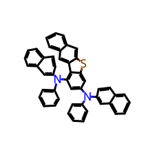 c1ccc(N(c2ccc3ccccc3c2)c2cc(N(c3ccccc3)c3ccc4ccccc4c3)c3c(c2)sc2cc4ccccc4cc23)cc1